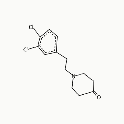 O=C1CCN(CCc2ccc(Cl)c(Cl)c2)CC1